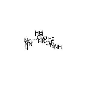 Cl.Cl.O=C(Nc1ccc(N2CCNCC2)c(C(F)(F)F)c1)c1cccc(CCc2cnc3[nH]cnc3c2)c1